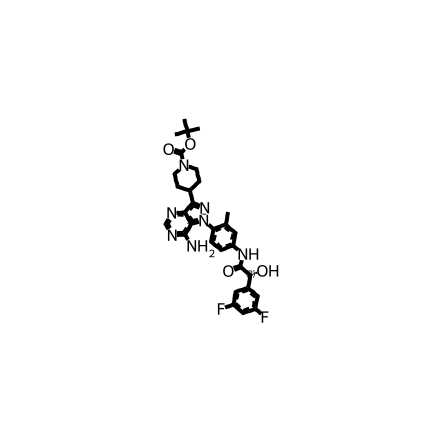 Cc1cc(NC(=O)[C@H](O)c2cc(F)cc(F)c2)ccc1-n1nc(C2CCN(C(=O)OC(C)(C)C)CC2)c2ncnc(N)c21